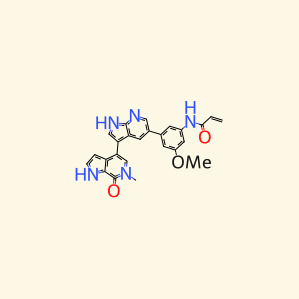 C=CC(=O)Nc1cc(OC)cc(-c2cnc3[nH]cc(-c4cn(C)c(=O)c5[nH]ccc45)c3c2)c1